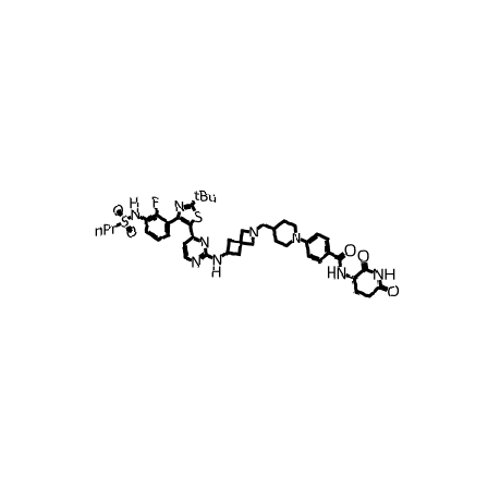 CCCS(=O)(=O)Nc1cccc(-c2nc(C(C)(C)C)sc2-c2ccnc(NC3CC4(C3)CN(CC3CCN(c5ccc(C(=O)N[C@@H]6CCC(=O)NC6=O)cc5)CC3)C4)n2)c1F